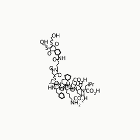 CC(C)CC(NC(=O)C(CCC(=O)O)NC(=O)C(CC(=O)O)NC(=O)C(CCCCN)NC(=O)C(Cc1ccccc1)NC(=O)C(Cc1ccccc1)NC(=O)C(C)CSC1CC(=O)N(CCCC(=O)Nc2ccc3c(c2)C(=O)C(SCCO)=C(SCCO)C3=O)C1=O)C(=O)O